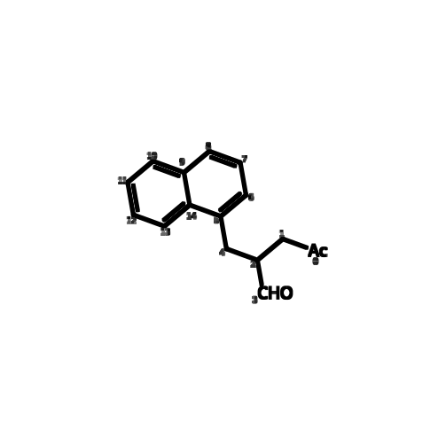 CC(=O)CC(C=O)Cc1cccc2ccccc12